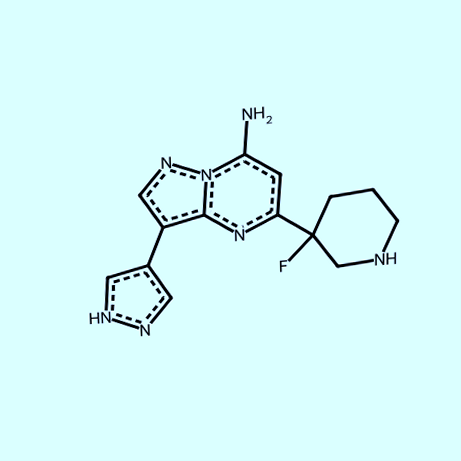 Nc1cc(C2(F)CCCNC2)nc2c(-c3cn[nH]c3)cnn12